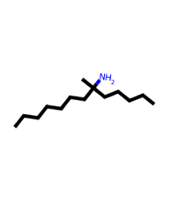 CCCCCCCC(C)(N)CCCCC